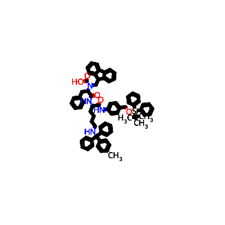 Cc1ccc(C(NCCCCC(NC(=O)C(Cc2ccccc2)N(CC2c3ccccc3-c3ccccc32)C(=O)O)C(=O)Nc2ccc(CO[Si](c3ccccc3)(c3ccccc3)C(C)(C)C)cc2)(c2ccccc2)c2ccccc2)cc1